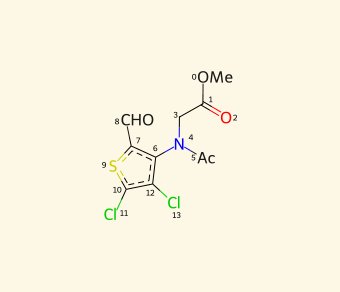 COC(=O)CN(C(C)=O)c1c(C=O)sc(Cl)c1Cl